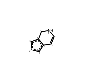 C1=Cc2cscc2CN1